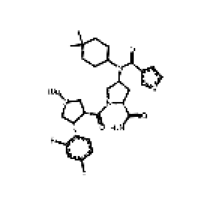 CC1(C)CCC(N(C(=O)c2ccsc2)[C@H]2C[C@@H](C(N)=O)N(C(=O)[C@@H]3CN(C(C)(C)C)C[C@H]3c3ccc(F)cc3F)C2)CC1